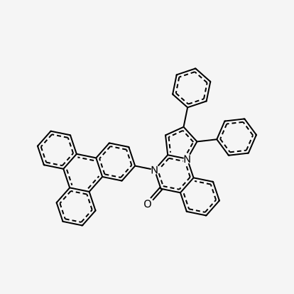 O=c1c2ccccc2n2c(-c3ccccc3)c(-c3ccccc3)cc2n1-c1ccc2c3ccccc3c3ccccc3c2c1